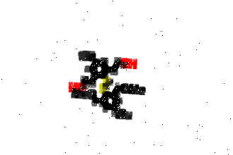 COCc1cc(C(C)(C)C)cc(COC)c1SSc1c(CCO)cc(C(C)(C)C)cc1CCO